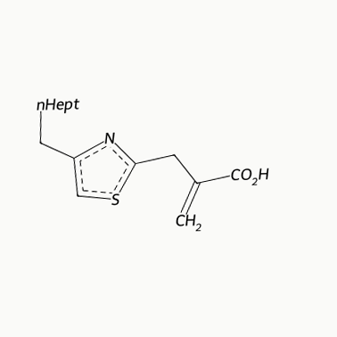 C=C(Cc1nc(CCCCCCCC)cs1)C(=O)O